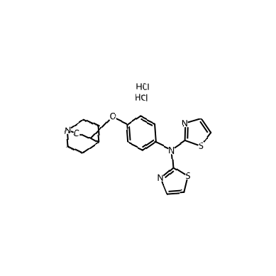 Cl.Cl.c1csc(N(c2ccc(OC3CN4CCC3CC4)cc2)c2nccs2)n1